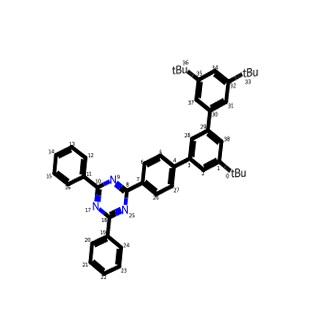 CC(C)(C)c1cc(-c2ccc(-c3nc(-c4ccccc4)nc(-c4ccccc4)n3)cc2)cc(-c2cc(C(C)(C)C)cc(C(C)(C)C)c2)c1